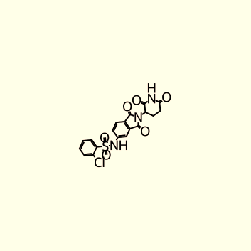 O=C1CCC(N2C(=O)c3ccc(NS(=O)(=O)c4ccccc4Cl)cc3C2=O)C(=O)N1